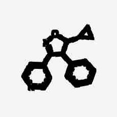 c1ccc(C2C(c3ccncc3)=NOC2C2CC2)cc1